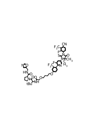 CC(C)(C)C(NC(=O)COCCCCOc1ccc(-c2ncc(N3C(=S)N(c4ccc(C#N)c(C(F)(F)F)c4F)C(=O)C3(C)C)cc2F)c(C(F)(F)F)c1)C(=O)N1CCCC1C(=O)NCc1cnco1